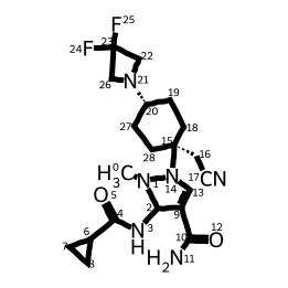 CN1C(NC(=O)C2CC2)C(C(N)=O)=CN1[C@]1(CC#N)CC[C@@H](N2CC(F)(F)C2)CC1